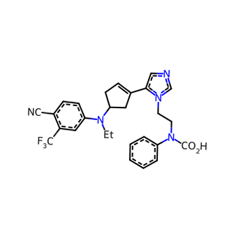 CCN(c1ccc(C#N)c(C(F)(F)F)c1)C1CC=C(c2cncn2CCN(C(=O)O)c2ccccc2)C1